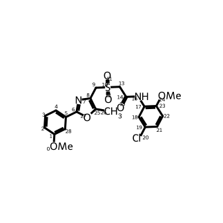 COc1cccc(-c2nc(CS(=O)(=O)CC(=O)Nc3cc(Cl)ccc3OC)c(C)o2)c1